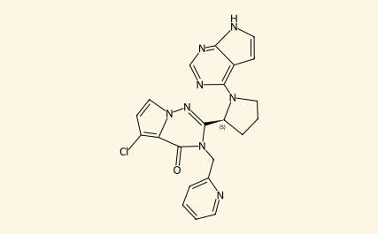 O=c1c2c(Cl)ccn2nc([C@@H]2CCCN2c2ncnc3[nH]ccc23)n1Cc1ccccn1